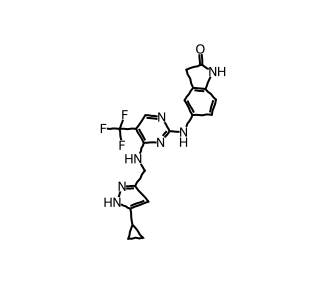 O=C1Cc2cc(Nc3ncc(C(F)(F)F)c(NCc4cc(C5CC5)[nH]n4)n3)ccc2N1